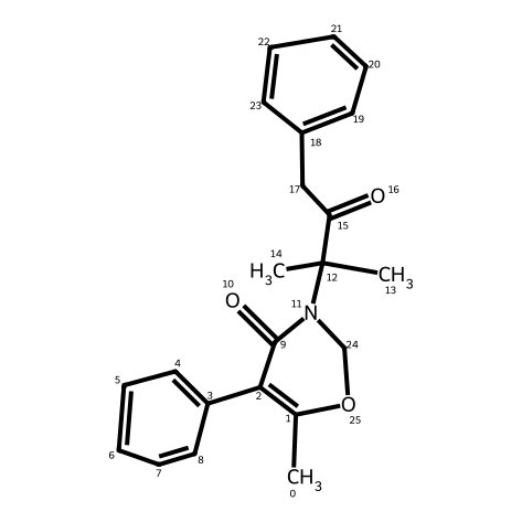 CC1=C(c2ccccc2)C(=O)N(C(C)(C)C(=O)Cc2ccccc2)CO1